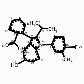 Cc1cc(-n2c(C(C)C)c(-c3ccccc3C(=O)O)c3cc(O)ccc32)ccc1F